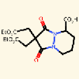 CCOC(=O)CC1(CC(=O)OCC)C(=O)N2CCCC(C(=O)O)N2C1=O